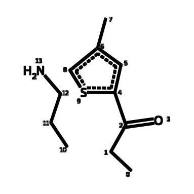 CCC(=O)c1cc(C)cs1.CCCN